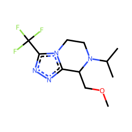 COCC1c2nnc(C(F)(F)F)n2CCN1C(C)C